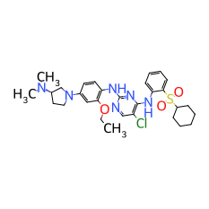 CCOc1cc(N2CC[C@@H](N(C)C)C2)ccc1Nc1ncc(Cl)c(Nc2ccccc2S(=O)(=O)C2CCCCC2)n1